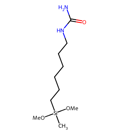 CO[Si](C)(CCCCCCNC(N)=O)OC